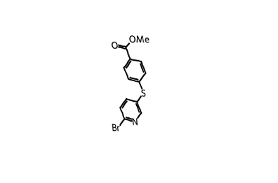 COC(=O)c1ccc(Sc2ccc(Br)nc2)cc1